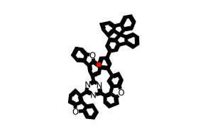 c1cc(-c2ccc3c(c2)-c2ccccc2C32c3ccccc3-c3ccccc32)cc(-c2ccc3oc4cccc(-c5nc(-c6ccc7oc8ccccc8c7c6)nc(-c6cccc7oc8ccccc8c67)n5)c4c3c2)c1